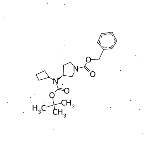 CC(C)(C)OC(=O)N(C1CCC1)[C@H]1CCN(C(=O)OCc2ccccc2)C1